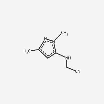 Cc1cc(NCC#N)n(C)n1